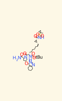 CC(C)(C)OC(=O)N[C@@H](CCCCC/C=C\[C@@H]1C[C@@H]1C(=O)NS(=O)(=O)C1(C)CC1)C(=O)N1C[C@H](Oc2ncnc3c2CCCC3)C[C@H]1C(N)=O